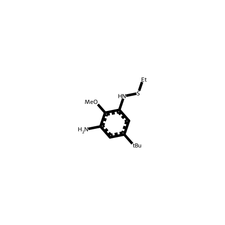 CCSNc1cc(C(C)(C)C)cc(N)c1OC